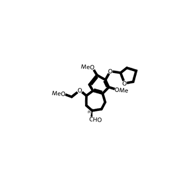 COCOC1C[C@H](C=O)CCc2c1cc(OC)c(OC1CCCO1)c2OC